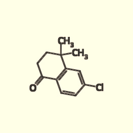 CC1(C)CCC(=O)c2ccc(Cl)cc21